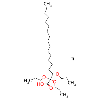 CCCCCCCCCCCCCCCC(OCCC)C(OCCC)(OCCC)C(=O)O.[Ti]